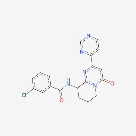 O=C(NC1CCCn2c1nc(-c1ccncn1)cc2=O)c1cccc(Cl)c1